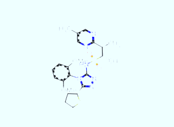 COc1cccc(OC)c1-n1c(NS(=O)(=O)[C@@H](C)[C@H](C)c2ncc(C)cn2)nnc1[C@@H]1CCCS1